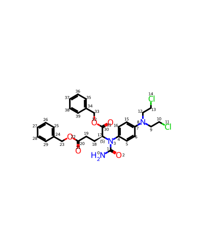 NC(=O)N(c1ccc(N(CCCl)CCCl)cc1)[C@@H](CCC(=O)OCc1ccccc1)C(=O)OCc1ccccc1